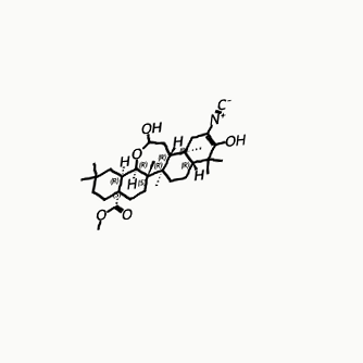 [C-]#[N+]C1=C(O)C(C)(C)[C@@H]2CC[C@]3(C)[C@H](CC(O)O[C@@H]4[C@@H]5CC(C)(C)CC[C@]5(C(=O)OC)CC[C@]43C)[C@@]2(C)C1